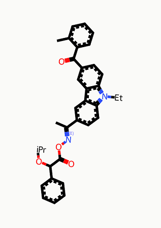 CCn1c2ccc(C(=O)c3ccccc3C)cc2c2cc(/C(C)=N/OC(=O)C(OC(C)C)c3ccccc3)ccc21